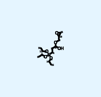 CCO[Si](CCC(O)OCC1CO1)(OCC)OCC